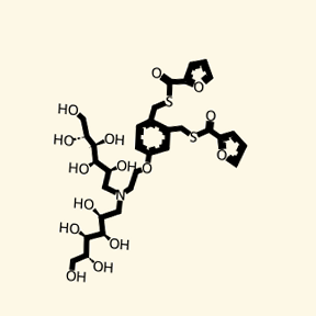 O=C(SCc1ccc(OCCN(C[C@H](O)[C@@H](O)[C@H](O)[C@H](O)CO)C[C@H](O)[C@@H](O)[C@H](O)[C@H](O)CO)cc1CSC(=O)c1ccco1)c1ccco1